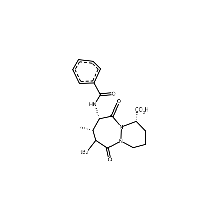 C[C@H]1C(C(C)(C)C)C(=O)N2CCC[C@@H](C(=O)O)N2C(=O)[C@H]1NC(=O)c1ccccc1